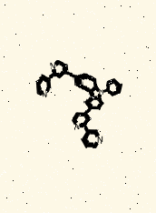 c1ccc(-n2c3ccc(-c4ccnc(-c5cccnc5)c4)cc3c3cc(-c4ccnc(-c5cccnc5)c4)ccc32)cc1